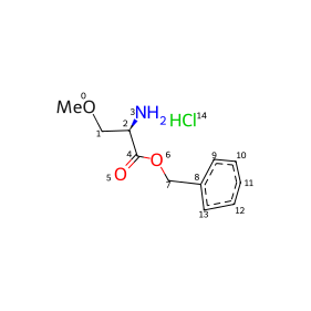 COC[C@@H](N)C(=O)OCc1ccccc1.Cl